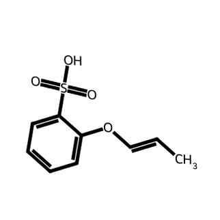 CC=COc1ccccc1S(=O)(=O)O